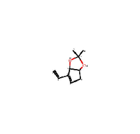 C=CC1=CCC2OC(C)(C)OC12